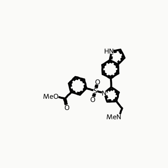 CNCc1cc(-c2ccc3[nH]ccc3c2)n(S(=O)(=O)c2cccc(C(=O)OC)c2)c1